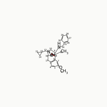 COc1ccc2c(c1)C13CCN(CC4CC4)C(C2)C1OCC(C)(NCc1ccccc1)C3